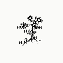 CC(C)(C)[C@H](c1cc(-c2cc(F)ccc2F)cn1Cc1ccccc1)N(CC[C@H](N)C(=O)NCCN[C@@H](CCC(N)=O)C(=O)O)C(=O)CO.O=C(O)C(F)(F)F